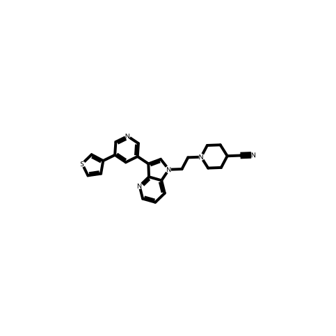 N#CC1CCN(CCn2cc(-c3cncc(-c4ccsc4)c3)c3ncccc32)CC1